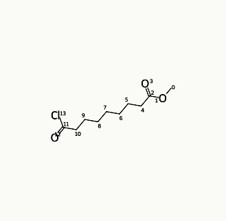 COC(=O)CCCCCCCC(=O)Cl